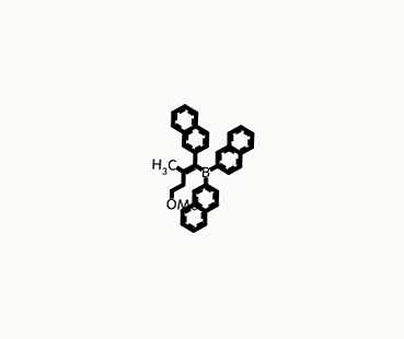 COCC/C(C)=C(\B(c1ccc2ccccc2c1)c1ccc2ccccc2c1)c1ccc2ccccc2c1